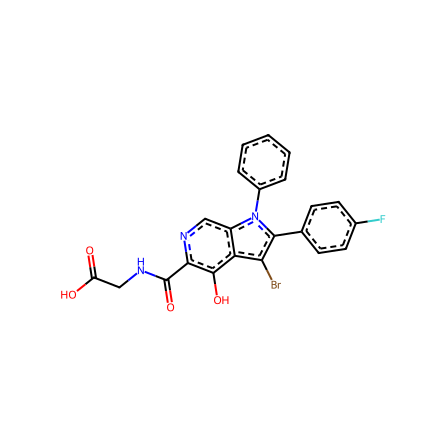 O=C(O)CNC(=O)c1ncc2c(c1O)c(Br)c(-c1ccc(F)cc1)n2-c1ccccc1